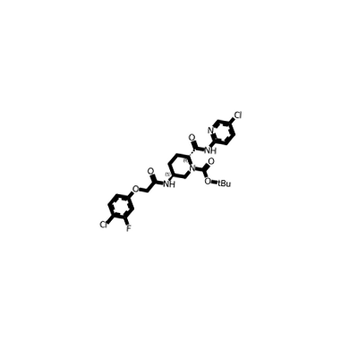 CC(C)(C)OC(=O)N1C[C@@H](NC(=O)COc2ccc(Cl)c(F)c2)CC[C@@H]1C(=O)Nc1ccc(Cl)cn1